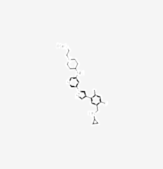 COCCN1CCC(Nc2cncc(-n3cc(-c4cc(CNC5CC5)c(F)cc4C)cn3)c2)CC1